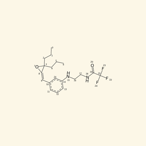 CCCC1(CCC)OC1=Cc1cccc(NCCNC(=O)C(F)(F)F)c1